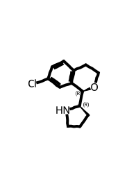 Clc1ccc2c(c1)[C@H]([C@H]1CCCN1)OCC2